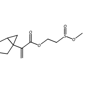 C=C(C(=O)OCCS(=O)OC)C12CCCC1C2